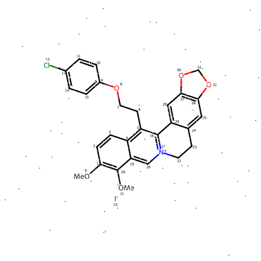 COc1ccc2c(CCOc3ccc(Cl)cc3)c3[n+](cc2c1OC)CCc1cc2c(cc1-3)OCO2.[I-]